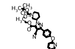 CCOC(=O)c1c(C#N)c(-c2ccc(Oc3ccccn3)cc2)nn1[C@@H]1CCCN(C(=O)OC(C)(C)C)C1